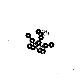 CC1(C)c2ccccc2-c2cc(-c3cc4c5c(c3)N(c3ccc(-c6ccccc6)cc3)c3c(ccc6ccccc36)B5c3ccc5ccccc5c3N4c3ccc(-c4ccccc4)cc3)ccc21